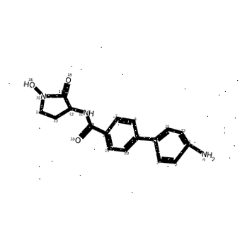 Nc1ccc(-c2ccc(C(=O)NC3CCN(O)C3=O)cc2)cc1